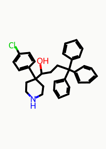 OC(CCC(c1ccccc1)(c1ccccc1)c1ccccc1)C1(c2ccc(Cl)cc2)CCNCC1